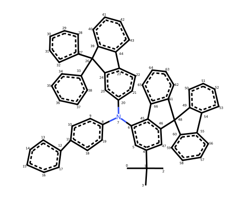 CC(C)(C)c1cc(N(c2ccc(-c3ccccc3)cc2)c2ccc3c(c2)C(c2ccccc2)(c2ccccc2)c2ccccc2-3)c2c(c1)C1(c3ccccc3-c3ccccc31)c1ccccc1-2